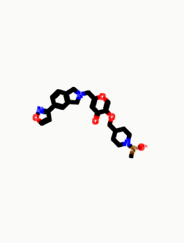 C[S+]([O-])N1CCC(COc2coc(CN3Cc4ccc(-c5ccon5)cc4C3)cc2=O)CC1